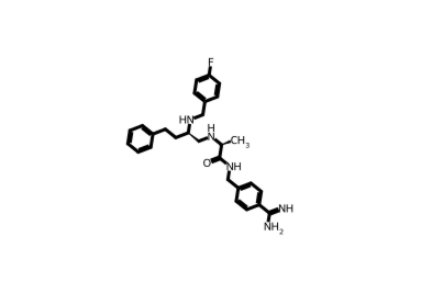 C[C@H](NC[C@@H](CCc1ccccc1)NCc1ccc(F)cc1)C(=O)NCc1ccc(C(=N)N)cc1